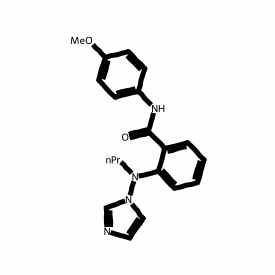 CCCN(c1ccccc1C(=O)Nc1ccc(OC)cc1)n1ccnc1